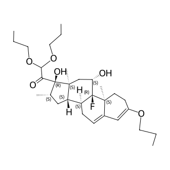 CCCOC1=CC2=CC[C@H]3[C@@H]4C[C@H](C)[C@](O)(C(=O)C(OCCC)OCCC)[C@@]4(C)C[C@H](O)[C@]3(F)[C@@]2(C)CC1